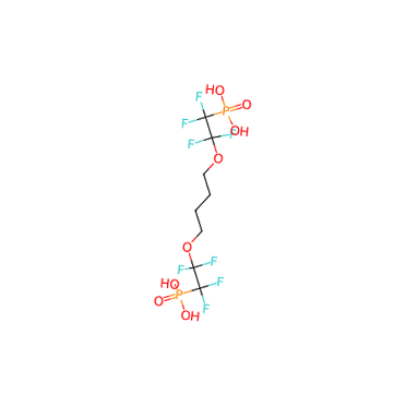 O=P(O)(O)C(F)(F)C(F)(F)OCCCCOC(F)(F)C(F)(F)P(=O)(O)O